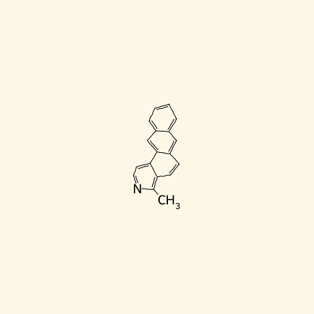 Cc1nccc2c1ccc1cc3ccccc3cc12